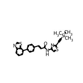 C[Si](C)(C)C#Cc1nc(NC(=O)C=Cc2ccc(-c3cccc4ncsc34)cc2)cs1